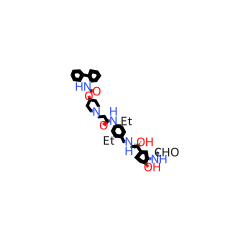 CCc1cc(NC(=O)CCN2CCC(OC(=O)Nc3ccccc3-c3ccccc3)CC2)c(CC)cc1CNC[C@H](O)c1ccc(O)c(NC=O)c1